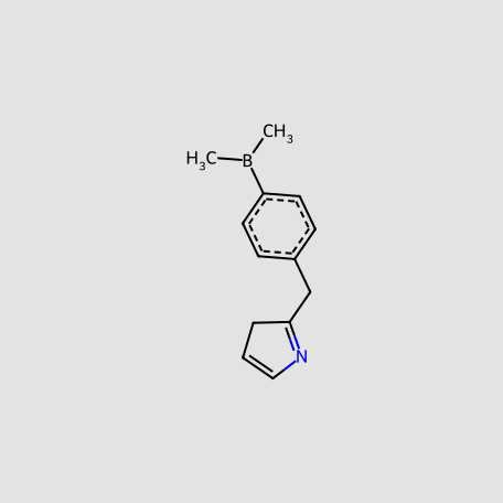 CB(C)c1ccc(CC2=NC=CC2)cc1